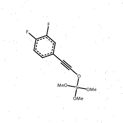 CO[Si](OC)(OC)OC#Cc1ccc(F)c(F)c1